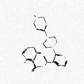 Cc1cccc2nc(-c3cccnc3N3CCN(C4CCN(C)CC4)CC3)oc(=O)c12